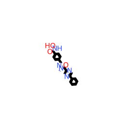 CN(N=Cc1ccc(C(=O)NO)cc1)C(=O)c1cnc(-c2ccccc2)cn1